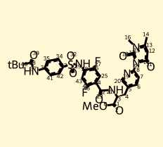 COC(=O)[C@H](Cc1ccc(-n2c(=O)cc(C)n(C)c2=O)nc1)NC(=O)c1cc(F)c(NS(=O)(=O)c2ccc(NC(=O)C(C)(C)C)cc2)cc1F